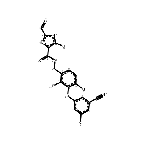 N#Cc1cc(Cl)cc(Oc2c(Cl)ccc(CNC(=O)c3[nH]c(C=O)nc3Cl)c2F)c1